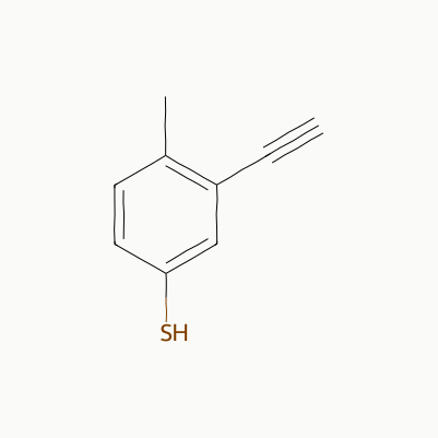 C#Cc1cc(S)ccc1C